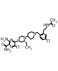 CC[C@H]1CN(c2nc(N)c(C(N)=O)nc2Cl)CCN1C1CCN(Cc2ccc(Cl)cc2CCNC(C)=O)CC1